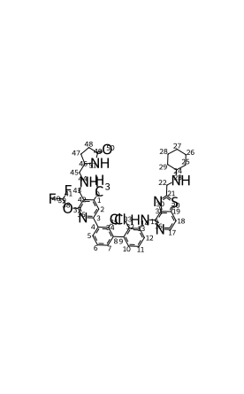 Cc1cc(-c2cccc(-c3cccc(Nc4nccc5sc(CNC6CCCCC6)nc45)c3Cl)c2Cl)nc(OC(F)F)c1CNCC1CCC(=O)N1